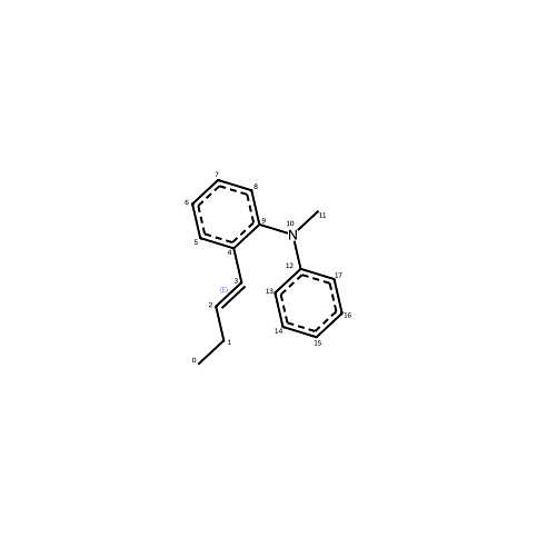 CC/C=C/c1ccccc1N(C)c1ccccc1